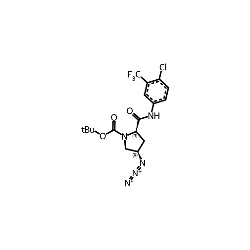 CC(C)(C)OC(=O)N1C[C@H](N=[N+]=[N-])C[C@@H]1C(=O)Nc1ccc(Cl)c(C(F)(F)F)c1